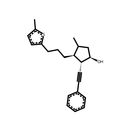 Cc1ccc(CCC[C@H]2C(C)C[C@@H](O)[C@@H]2C#Cc2ccccc2)s1